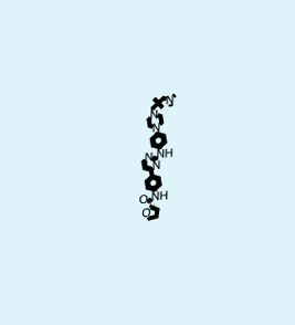 CN(C)CC(C)(C)CN1CCN(c2ccc(Nc3nccc(-c4ccc(NC(=O)[C@@H]5CCCO5)cc4)n3)cc2)CC1